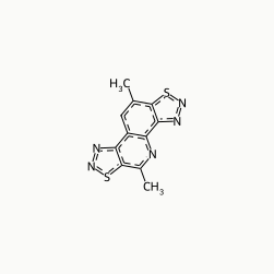 Cc1nc2c(cc(C)c3snnc32)c2nnsc12